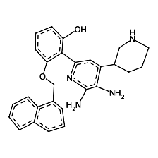 Nc1nc(-c2c(O)cccc2OCc2cccc3ccccc23)cc(C2CCCNC2)c1N